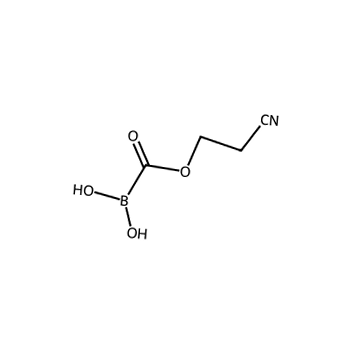 N#CCCOC(=O)B(O)O